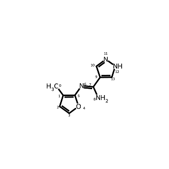 Cc1ccoc1N=C(N)c1cn[nH]c1